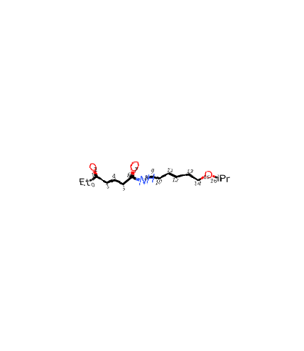 CCC(=O)CCCC(=O)NCCCCCCOC(C)C